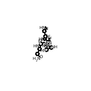 NC(=O)c1cccc(-c2ccc3c(-c4nc(N[C@@H]5CNCCC5C5CCNC[C@H]5Nc5ncc(C(F)(F)F)c(-c6c[nH]c7cc(-c8ccc9[nH]cnc9c8)ccc67)n5)ncc4C(F)(F)F)c[nH]c3c2)c1